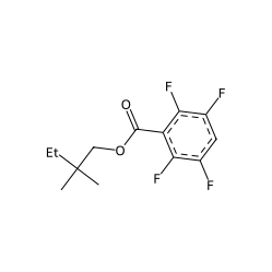 CCC(C)(C)COC(=O)c1c(F)c(F)cc(F)c1F